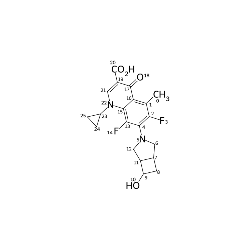 Cc1c(F)c(N2CC3CC(O)C3C2)c(F)c2c1c(=O)c(C(=O)O)cn2C1CC1